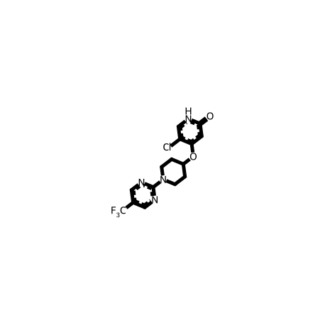 O=c1cc(OC2CCN(c3ncc(C(F)(F)F)cn3)CC2)c(Cl)c[nH]1